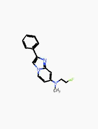 CN(CCF)c1ccn2cc(-c3ccccc3)nc2c1